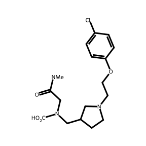 CNC(=O)CN(CC1CCN(CCOc2ccc(Cl)cc2)C1)C(=O)O